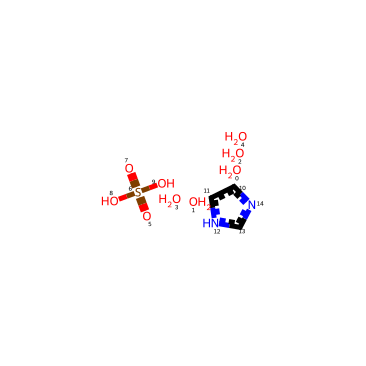 O.O.O.O.O.O=S(=O)(O)O.c1c[nH]cn1